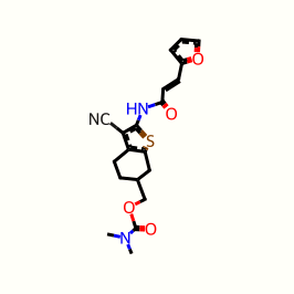 CN(C)C(=O)OCC1CCc2c(sc(NC(=O)C=Cc3ccco3)c2C#N)C1